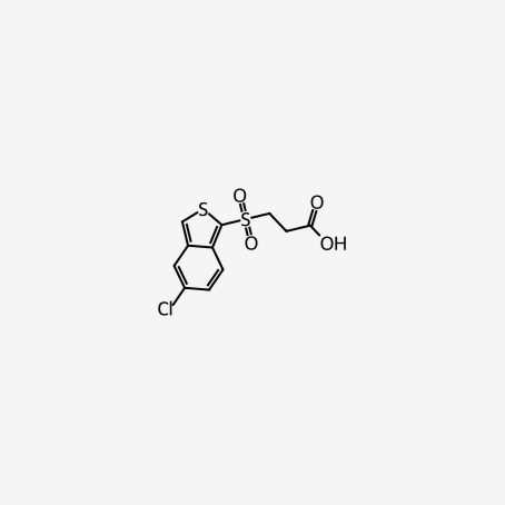 O=C(O)CCS(=O)(=O)c1scc2cc(Cl)ccc12